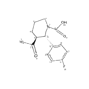 O=C(O)[C@H]1CCCN(C(=O)O)[C@@H]1c1ccc(F)cc1